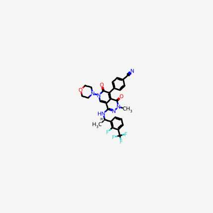 C[C@@H](Nc1nn(C)c(=O)c2c(-c3ccc(C#N)cc3)c(=O)n(N3CCOCC3)cc12)c1cccc(C(F)(F)F)c1F